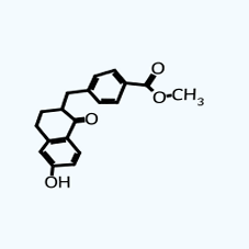 COC(=O)c1ccc(CC2CCc3cc(O)ccc3C2=O)cc1